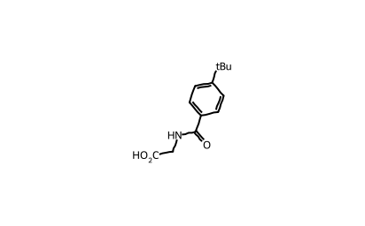 CC(C)(C)c1ccc(C(=O)NCC(=O)O)cc1